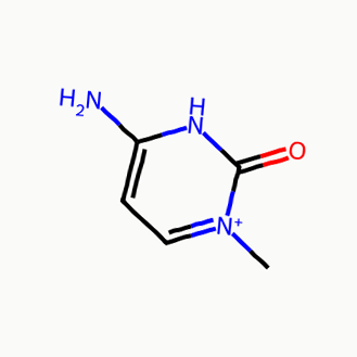 C[n+]1ccc(N)[nH]c1=O